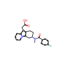 CN(C(=O)c1ccc(F)cc1)[C@@H]1CCc2c(CC(=O)O)c3ccccn3c2C1